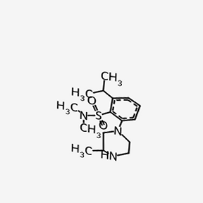 CC1CN(c2cccc(C(C)C)c2S(=O)(=O)N(C)C)CCN1